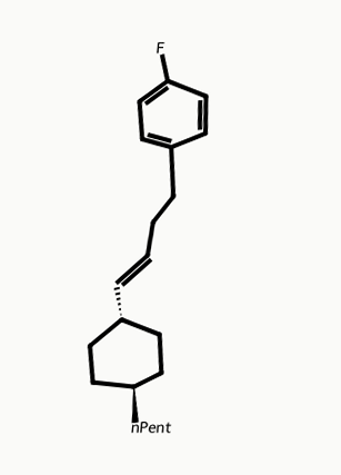 CCCCC[C@H]1CC[C@H](/C=C/CCc2ccc(F)cc2)CC1